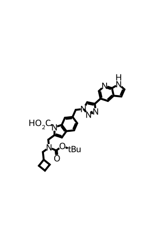 CC(C)(C)OC(=O)N(Cc1cc2ccc(Cn3cc(-c4cnc5[nH]ccc5c4)nn3)cc2n1C(=O)O)CC1CCC1